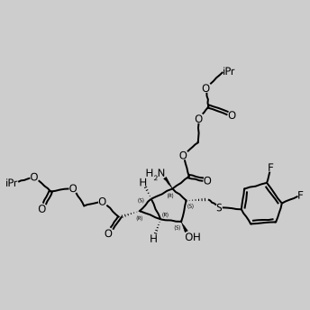 CC(C)OC(=O)OCOC(=O)[C@H]1[C@@H]2[C@H](O)[C@@H](CSc3ccc(F)c(F)c3)[C@@](N)(C(=O)OCOC(=O)OC(C)C)[C@H]12